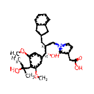 COc1cc([C@@H](O)[C@@H](CC2Cc3ccccc3C2)Cn2ccc(CC(=O)O)c2)cc(OC)c1C(C)(C)O